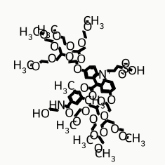 COCCOCC(COCCOC)OCC(Oc1ccc2c(c1)c(C(=O)Oc1c(C)cc(C(=O)NCCO)cc1C)c1cc(OC(COC(COCCOC)COCOC)OC(COCCOC)COCCOC)ccc1[n+]2CCCS(=O)(=O)O)OC(COCCOC)COCCOC